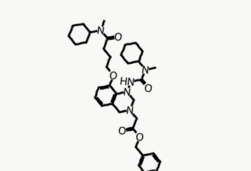 CN(C(=O)CCCOc1cccc2c1N(NC(=O)N(C)C1CCCCC1)CN(CC(=O)OCc1ccccc1)C2)C1CCCCC1